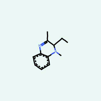 CCC1C(C)=Nc2ccccc2N1C